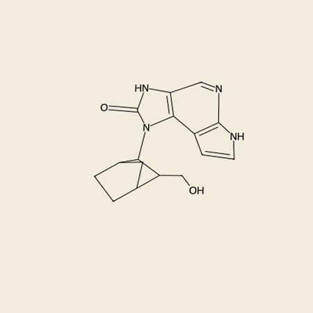 O=c1[nH]c2cnc3[nH]ccc3c2n1C1C2CCC(C2)C1CO